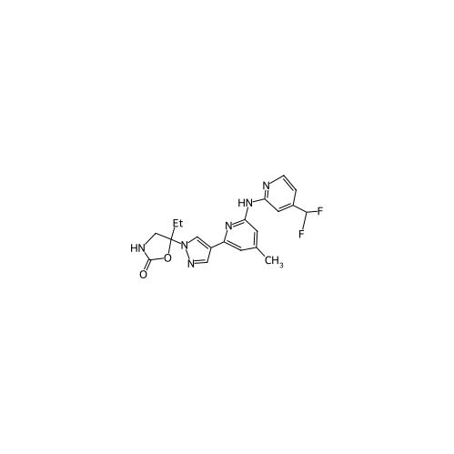 CCC1(n2cc(-c3cc(C)cc(Nc4cc(C(F)F)ccn4)n3)cn2)CNC(=O)O1